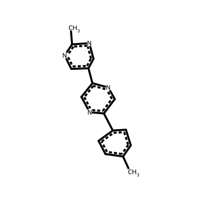 Cc1ccc(-c2cnc(-c3cnc(C)nc3)cn2)cc1